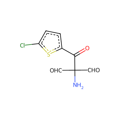 NC(C=O)(C=O)C(=O)c1ccc(Cl)s1